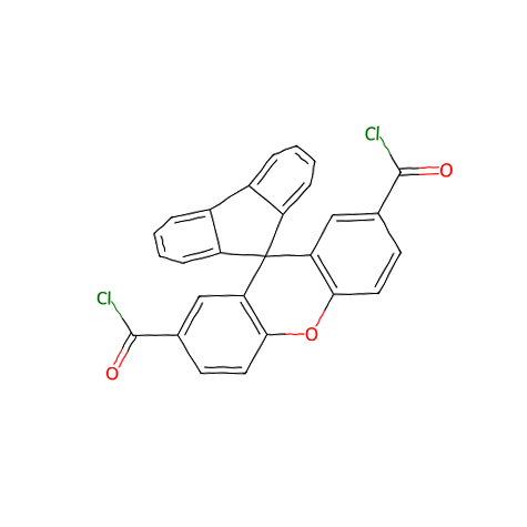 O=C(Cl)c1ccc2c(c1)C1(c3cc(C(=O)Cl)ccc3O2)c2ccccc2-c2ccccc21